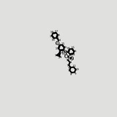 O=S(=O)(CCCC1CCCCC1)c1ccccc1Nc1ccc(OCc2ccccc2)cc1C1CC1